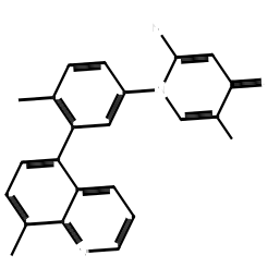 Cc1ccc(-n2cc(O)c(=O)cc2N)cc1-c1ccc(C)c2ncccc12